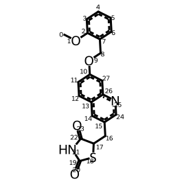 COc1ccccc1COc1ccc2cc(CC3SC(=O)NC3=O)cnc2c1